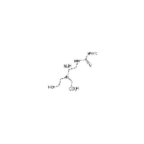 CCCCCC(=O)NCCN(CCO)CC(=O)O.[NaH]